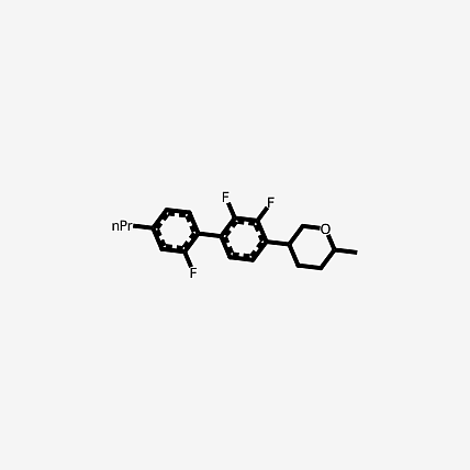 CCCc1ccc(-c2ccc(C3CCC(C)OC3)c(F)c2F)c(F)c1